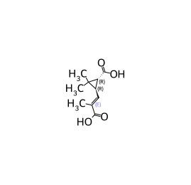 C/C(=C\[C@@H]1[C@@H](C(=O)O)C1(C)C)C(=O)O